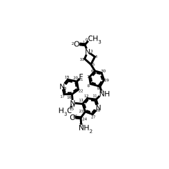 CC(=O)N1CC(c2ccc(Nc3cc(N(C)c4cncc(F)c4)c(C(N)=O)cn3)cc2)C1